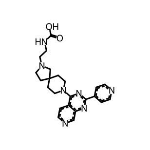 O=C(O)NCCN1CCC2(CCN(c3nc(-c4ccncc4)nc4cnccc34)CC2)C1